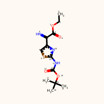 CCOC(=O)C(=N)c1csc(NC(=O)OC(C)(C)C)n1